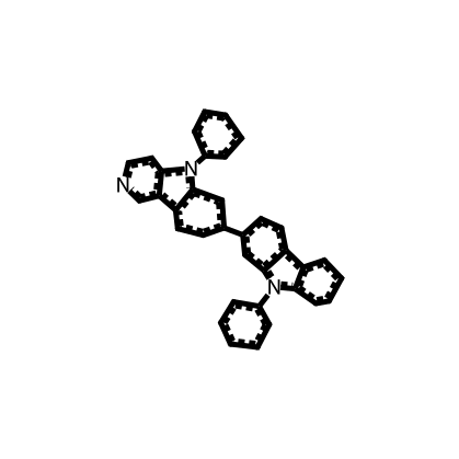 c1ccc(-n2c3ccccc3c3ccc(-c4ccc5c6cnccc6n(-c6ccccc6)c5c4)cc32)cc1